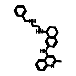 Cc1cc(Nc2ccc3c(c2)C(NCCNCc2ccccc2)CCC3)c2ccccc2n1